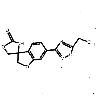 CCc1nc(-c2ccc3c(c2)OCC32COC(=O)N2)no1